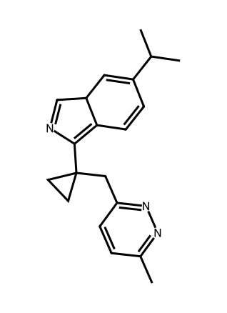 Cc1ccc(CC2(C3=C4C=CC(C(C)C)=CC4C=N3)CC2)nn1